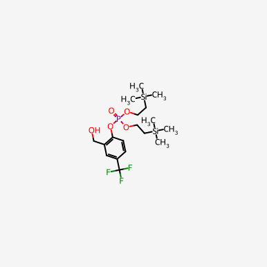 C[Si](C)(C)CCOP(=O)(OCC[Si](C)(C)C)Oc1ccc(C(F)(F)F)cc1CO